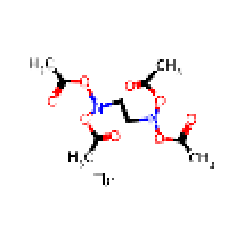 CC(=O)ON(CCN(OC(C)=O)OC(C)=O)OC(C)=O.[Tb]